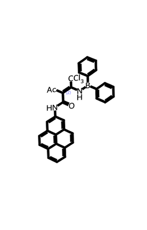 CC(=O)/C(C(=O)Nc1cc2ccc3cccc4ccc(c1)c2c34)=C(/NB(c1ccccc1)c1ccccc1)C(Cl)(Cl)Cl